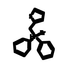 Br[PH](Cc1cccs1)(c1ccccc1)c1ccccc1